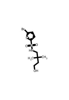 CC(C)(CCO)CNS(=O)(=O)c1ccc(Br)s1